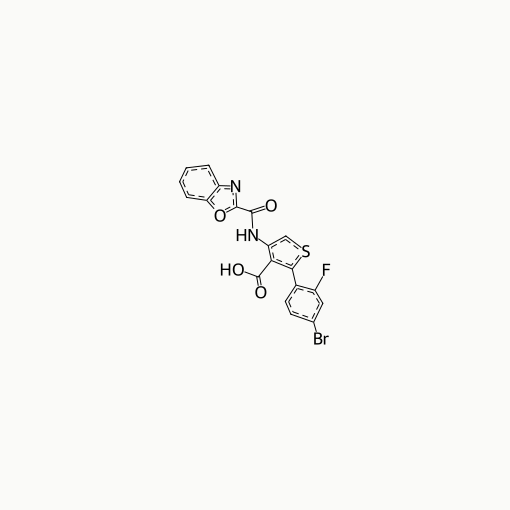 O=C(Nc1csc(-c2ccc(Br)cc2F)c1C(=O)O)c1nc2ccccc2o1